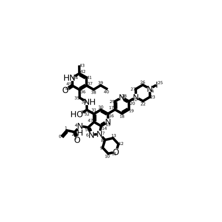 C=CC(=O)Nc1nn(C2CCOCC2)c2nc(-c3ccc(N4CCN(I)CC4)nc3)cc(C(O)NCc3c(CCC)cc(C)[nH]c3=O)c12